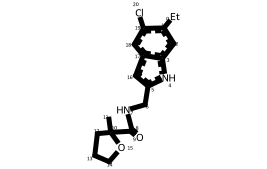 CCc1cc2[nH]c(CNC(=O)C3(C)CCCO3)cc2cc1Cl